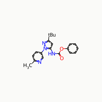 Cc1ccc(-n2nc(C(C)(C)C)cc2NC(=O)Oc2ccccc2)cn1